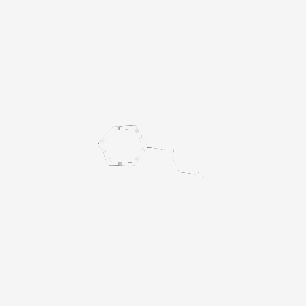 [S]COc1ccccc1